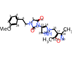 COc1cccc(CCN2CC(=O)N(C3=CN(Cc4c(C)noc4C)NC3)C2=O)c1